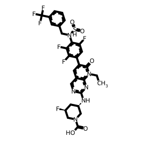 CCn1c(=O)c(-c2cc(F)c(N(Cc3cccc(C(F)(F)F)c3)[SH](=O)=O)c(F)c2F)cc2cnc(N[C@H]3C[C@H](F)CN(C(=O)O)C3)nc21